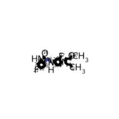 CCCN(CCOC)c1ccc(N/C=C2/C(=O)Nc3cc(F)ccc32)cc1F